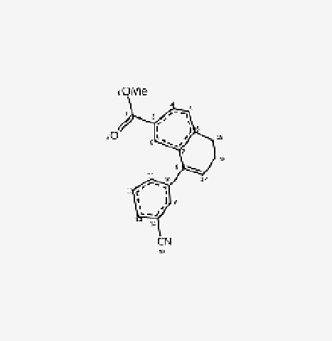 COC(=O)c1ccc2c(c1)C(c1cccc(C#N)c1)=CCC2